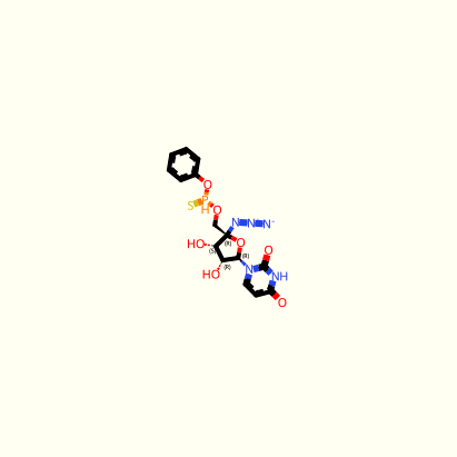 [N-]=[N+]=N[C@]1(CO[PH](=S)Oc2ccccc2)O[C@@H](n2ccc(=O)[nH]c2=O)[C@H](O)[C@@H]1O